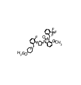 COc1cccc2c1n(Cc1ccccc1C(F)(F)F)c(=O)n2[C@@H]1CCN(c2c(F)cccc2CN2CCC(OC)CC2)C1